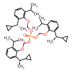 CC(C)c1cccc([C@H](C)C2CC2)c1OCOP(=O)(OCOc1c(C(C)C)cccc1[C@H](C)C1CC1)OCOc1c(C(C)C)cccc1[C@H](C)C1CC1